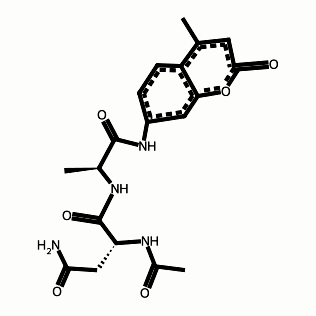 CC(=O)N[C@H](CC(N)=O)C(=O)N[C@@H](C)C(=O)Nc1ccc2c(C)cc(=O)oc2c1